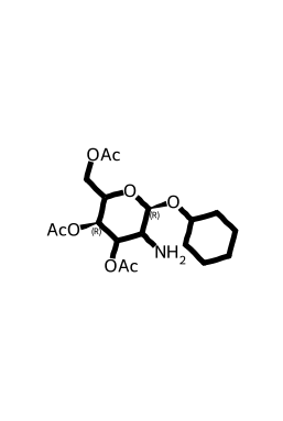 CC(=O)OCC1O[C@@H](OC2CCCCC2)C(N)C(OC(C)=O)[C@H]1OC(C)=O